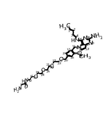 CCCCCNc1nc(N)nc2ccn(Cc3ccc(COCCOCCOCCOCCNC(=O)CN)cc3OC)c12